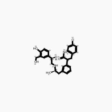 C[C@H](Cc1cccc(C(Cc2ccc(Cl)cc2)C(N)=O)c1)NC[C@H](O)c1ccc(O)c(CO)c1